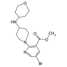 COC(=O)c1cc(Br)cnc1N1CCC(NC2CCOCC2)CC1